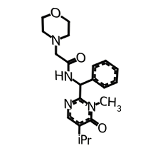 CC(C)c1cnc(C(NC(=O)CN2CCOCC2)c2ccccc2)n(C)c1=O